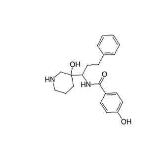 O=C(NC(CCc1ccccc1)C1(O)CCCNC1)c1ccc(O)cc1